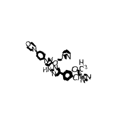 C[C@@H](Cn1cncn1)Oc1cc(-c2cnc(Nc3cn(C4CCC(N5CCOCC5)CC4)nc3OCCn3cccn3)nc2)ccc1Cl